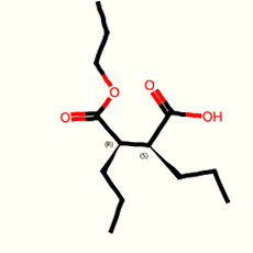 CCCOC(=O)[C@H](CCC)[C@H](CCC)C(=O)O